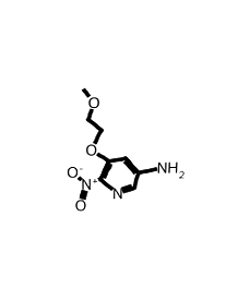 COCCOc1cc(N)cnc1[N+](=O)[O-]